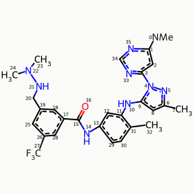 CNc1cc(-n2nc(C)cc2Nc2cc(NC(=O)c3cc(CNN(C)C)cc(C(F)(F)F)c3)ccc2C)ncn1